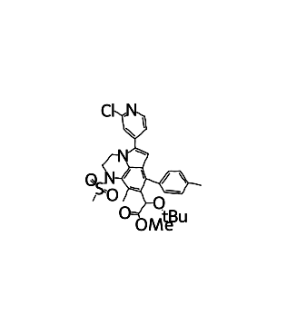 COC(=O)C(OC(C)(C)C)c1c(C)c2c3c(cc(-c4ccnc(Cl)c4)n3CCN2S(C)(=O)=O)c1-c1ccc(C)cc1